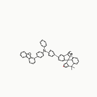 CC1(C)c2ccccc2C2(c3ccccc3-c3cc(-c4ccc(N(c5ccccc5)c5ccc(-c6cccc7c6oc6ccccc67)cc5)cc4)ccc32)c2ccccc21